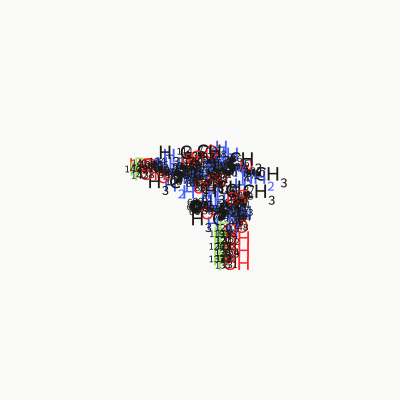 CCC[C@H](N)C(=O)NCc1cccc(Nc2c(C(N)=O)cnc3cc(OCC)c(OCC)cc23)c1CC.CCOc1cc2ncc(C(N)=O)c(Nc3cccc(CNC(=O)[C@H](N)c4ccccc4)c3CC)c2cc1OCC.CCOc1cc2ncc(C(N)=O)c(Nc3cccc(CNC(=O)[C@H]4C[C@@H](O)CN4)c3CC)c2cc1OCC.O=C(O)C(F)(F)F.O=C(O)C(F)(F)F.O=C(O)C(F)(F)F.O=C(O)C(F)(F)F